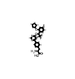 N[C@@H](Cc1ccc(-c2cc(OC(c3ccc(F)cc3OC3CCCC3)C(F)(F)F)ncn2)cc1)C(=O)O